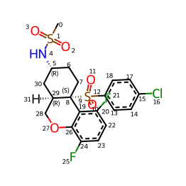 CS(=O)(=O)N[C@@H]1CC[C@@]2(S(=O)(=O)c3ccc(Cl)cc3)c3c(F)ccc(F)c3OC[C@H]2C1